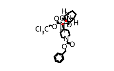 O=C(N[C@@H]1C[C@H]2CC[C@@H](C1)N2S(=O)(=O)CC1CCN(C(=O)OCc2ccccc2)CC1)OCC(Cl)(Cl)Cl